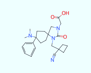 CN(C)C1(c2ccccc2)CCC2(CC1)CN(CC(=O)O)C(=O)N2CC1(C#N)CCC1